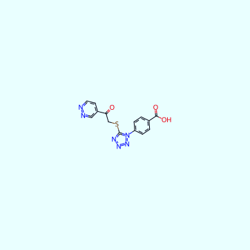 O=C(O)c1ccc(-n2nnnc2SCC(=O)c2ccnnc2)cc1